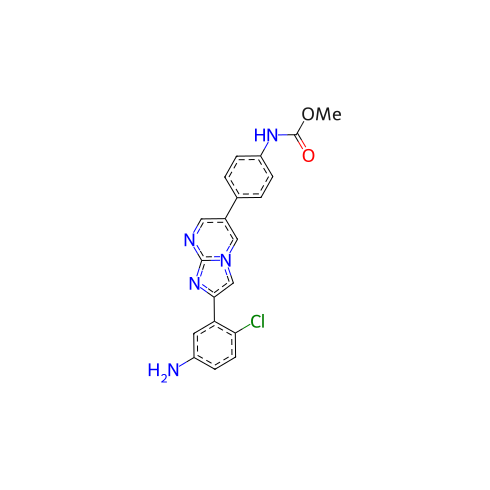 COC(=O)Nc1ccc(-c2cnc3nc(-c4cc(N)ccc4Cl)cn3c2)cc1